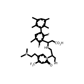 Cc1cc(C)c(C)c(-c2cc(C)c(F)c(C(CC(=O)O)NCC(CC(C)C)n3cc(CCN(C)C)c(C(F)(F)F)cc3=O)c2F)c1C